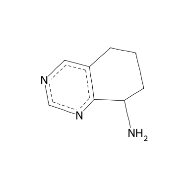 NC1CCCc2cncnc21